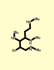 CCC(CNC(C)(C)C)C(NC(C)(C)C)C(CCNC(C)(C)C)NC(C)(C)C